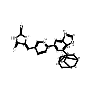 O=C1NC(=O)/C(=C/c2ccc(-c3cc(C45CC6CC(CC(C6)C4)C5)c4ocnc4c3)nc2)S1